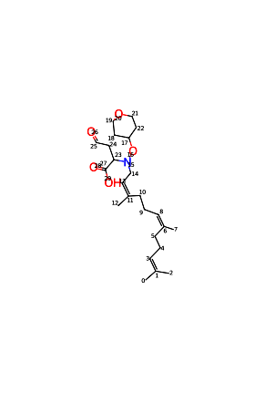 CC(C)=CCCC(C)=CCCC(C)=CCN(OC1CCOCC1)C(CC=O)C(=O)O